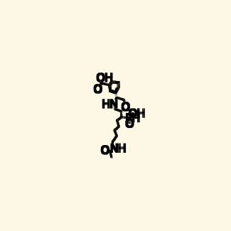 CC(=O)NCCCCCC([C@H]1CN[C@H](c2cccc(C(=O)O)c2)CO1)[PH](=O)O